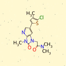 Cc1cc(-c2cnc3c(c2)n(CC(=O)N(C)C)c(=O)n3C)sc1Cl